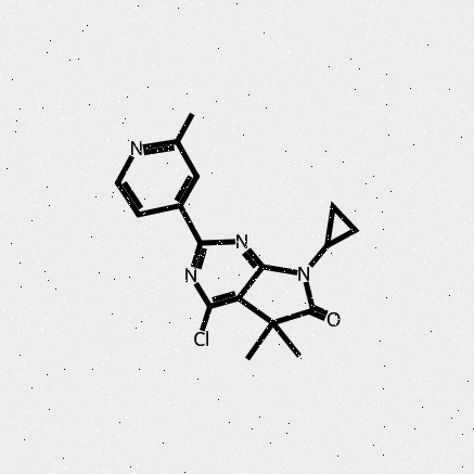 Cc1cc(-c2nc(Cl)c3c(n2)N(C2CC2)C(=O)C3(C)C)ccn1